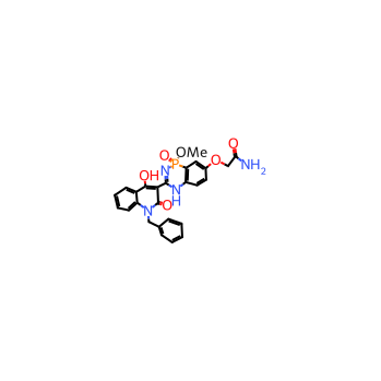 COP1(=O)N=C(c2c(O)c3ccccc3n(Cc3ccccc3)c2=O)Nc2ccc(OCC(N)=O)cc21